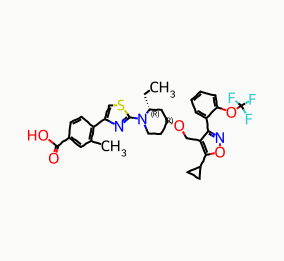 CC[C@@H]1C[C@H](OCc2c(-c3ccccc3OC(F)(F)F)noc2C2CC2)CCN1c1nc(-c2ccc(C(=O)O)cc2C)cs1